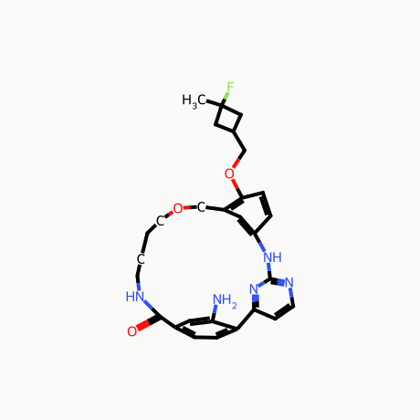 CC1(F)CC(COc2ccc3cc2COCCCCNC(=O)c2ccc(c(N)c2)-c2ccnc(n2)N3)C1